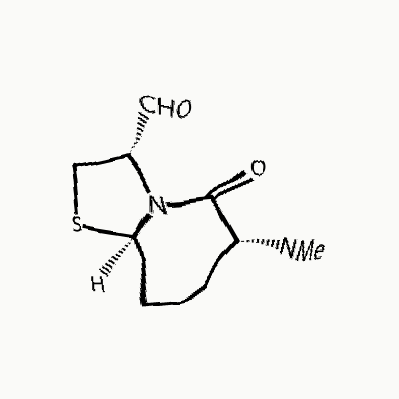 CN[C@@H]1CC[C@H]2SC[C@H](C=O)N2C1=O